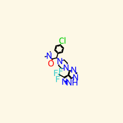 CN(C)C(=O)C(c1ccc(Cl)cc1)N1CCN(c2ncnc3[nH]nc(C(F)(F)F)c23)CC1